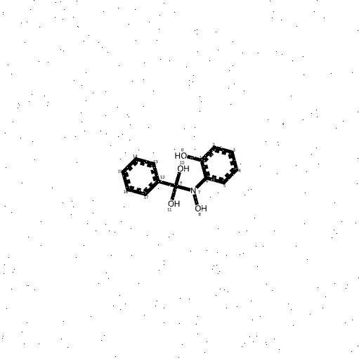 Oc1ccccc1N(O)C(O)(O)c1ccccc1